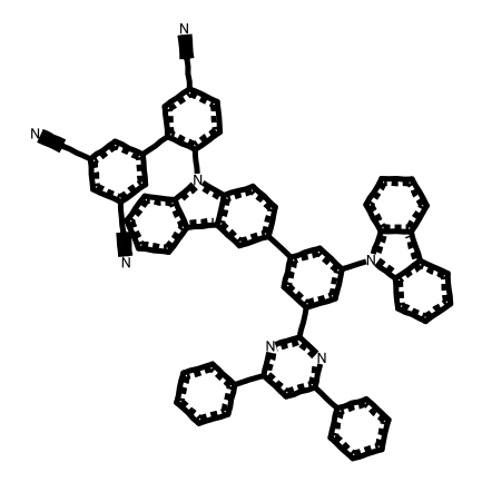 N#Cc1cc(C#N)cc(-c2cc(C#N)ccc2-n2c3ccccc3c3cc(-c4cc(-c5nc(-c6ccccc6)cc(-c6ccccc6)n5)cc(-n5c6ccccc6c6ccccc65)c4)ccc32)c1